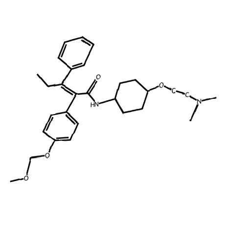 CC/C(=C(/C(=O)NC1CCC(OCCN(C)C)CC1)c1ccc(OCOC)cc1)c1ccccc1